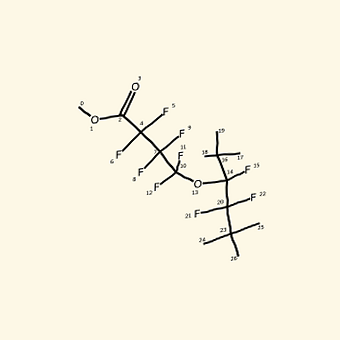 COC(=O)C(F)(F)C(F)(F)C(F)(F)OC(F)(C(C)(C)C)C(F)(F)C(C)(C)C